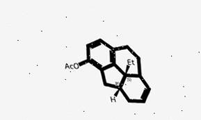 CC[C@]12c3c4ccc(OC(C)=O)c3C[C@H]1CC=CC2CC4